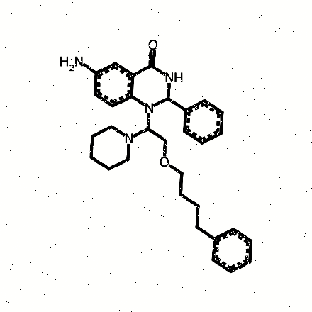 Nc1ccc2c(c1)C(=O)NC(c1ccccc1)N2C(COCCCCc1ccccc1)N1CCCCC1